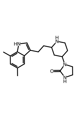 Cc1cc(C)c2[nH]cc(CCC3CC(N4CCNC4=O)CCN3)c2c1